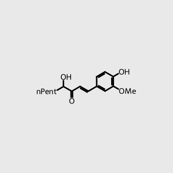 CCCCCC(O)C(=O)/C=C/c1ccc(O)c(OC)c1